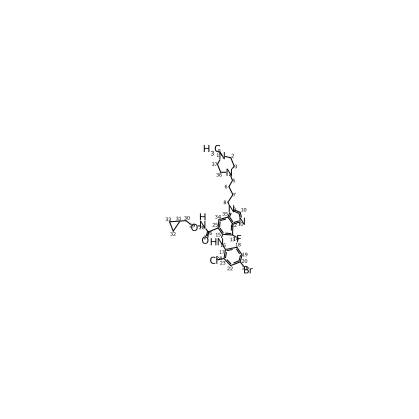 CN1CCN(CCCCn2cnc3c(F)c(Nc4ccc(Br)cc4Cl)c(C(=O)NOCC4CC4)cc32)CC1